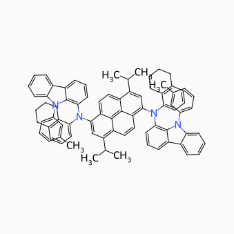 Cc1cccc(-n2c3ccccc3c3cccc(N(c4cccc5c4CCCC5)c4cc(C(C)C)c5ccc6c(N(c7cccc8c7CCCC8)c7cccc8c9ccccc9n(-c9cccc(C)c9)c78)cc(C(C)C)c7ccc4c5c76)c32)c1